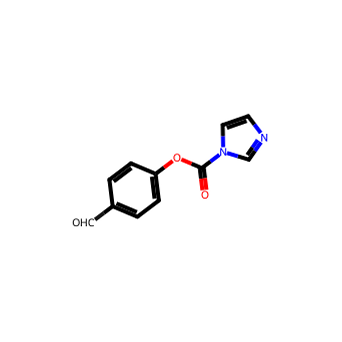 O=Cc1ccc(OC(=O)n2ccnc2)cc1